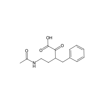 CC(=O)NCCC(Cc1ccccc1)C(=O)C(=O)O